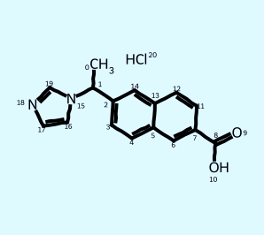 CC(c1ccc2cc(C(=O)O)ccc2c1)n1ccnc1.Cl